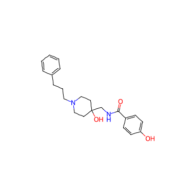 O=C(NCC1(O)CCN(CCCc2ccccc2)CC1)c1ccc(O)cc1